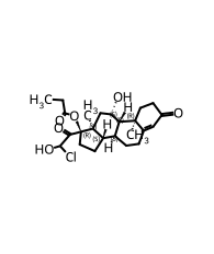 CCC(=O)O[C@]1(C(=O)C(O)Cl)CC[C@H]2[C@@H]3CCC4=CC(=O)CC[C@]4(C)[C@H]3[C@@H](O)C[C@@]21C